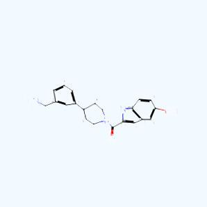 NCc1cccc(C2CCN(C(=O)c3cc4cc(O)ccc4[nH]3)CC2)c1